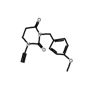 C#CN1CCC(=O)N(Cc2ccc(OC)cc2)C1=O